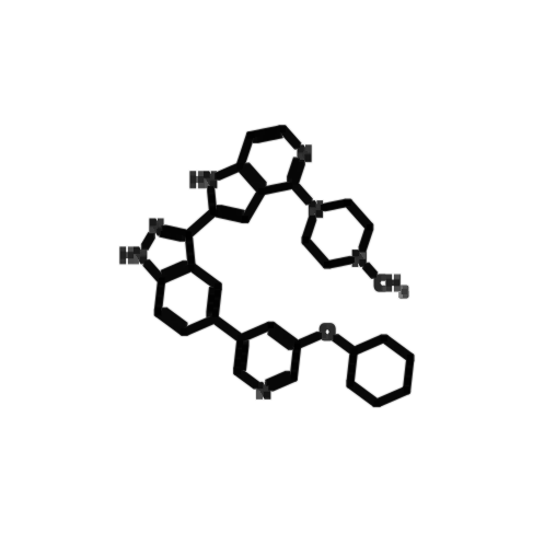 CN1CCN(c2nccc3[nH]c(-c4n[nH]c5ccc(-c6cncc(OC7CCCCC7)c6)cc45)cc23)CC1